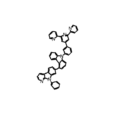 c1ccc(-n2c3cc(-c4cccc5c4c4ccccc4n5-c4cccc(-c5cc(-c6ccccn6)nc(-c6ccccn6)c5)c4)ccc3c3cccnc32)cc1